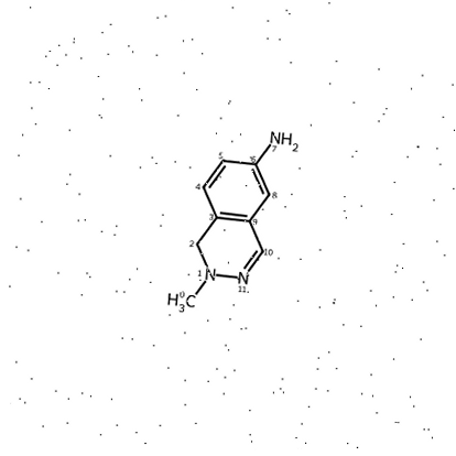 CN1Cc2ccc(N)cc2C=N1